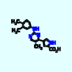 Cc1ccc(Nc2ncc(C)c(-c3c[nH]c(C(=O)O)c3)n2)cc1C